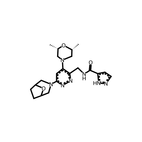 C[C@@H]1CN(c2cc(N3CC4CCC(C3)O4)nnc2CNC(=O)c2ccn[nH]2)C[C@H](C)O1